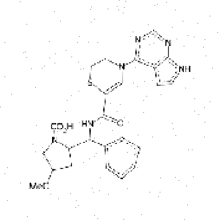 COC1CC(C(NC(=O)C2=CN(c3ncnc4[nH]ccc34)CCS2)c2ccccc2)N(C(=O)O)C1